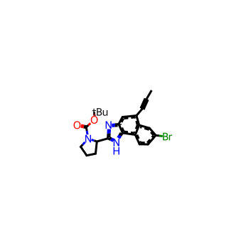 CC#Cc1cc2nc(C3CCCN3C(=O)OC(C)(C)C)[nH]c2c2ccc(Br)cc12